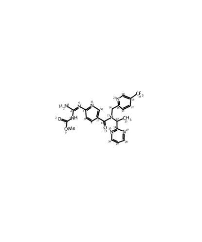 COC(=O)NC(N)=Nc1ccc(C(=O)N(Cc2ccc(C(F)(F)F)cn2)C(C)c2ncccn2)cn1